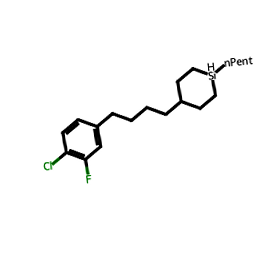 CCCCC[SiH]1CCC(CCCCc2ccc(Cl)c(F)c2)CC1